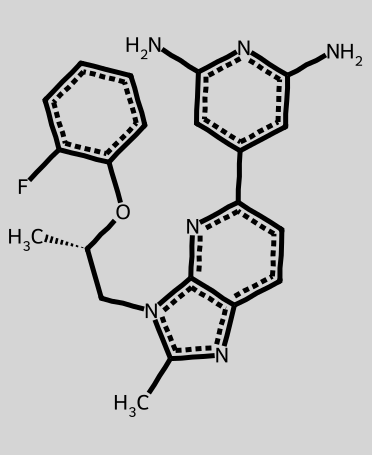 Cc1nc2ccc(-c3cc(N)nc(N)c3)nc2n1C[C@H](C)Oc1ccccc1F